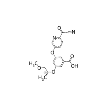 COC[C@H](C)Oc1cc(Oc2ccc(C(=O)C#N)nc2)cc(C(=O)O)c1